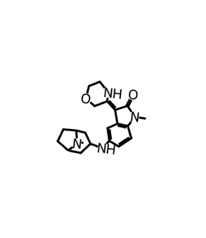 CN1C(=O)/C(=C2/COCCN2)c2cc(NC3CC4CCC(C3)N4C)ccc21